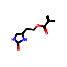 C=C(C)C(=O)OCCC1CNC(=O)N1